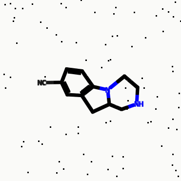 N#Cc1ccc2c(c1)CC1CNCCN21